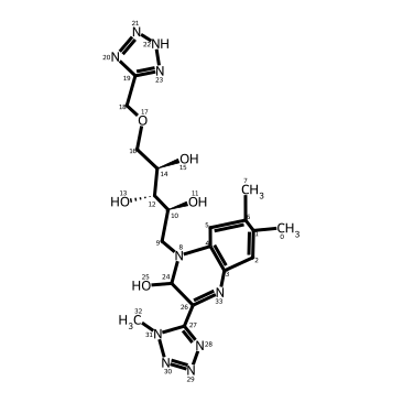 Cc1cc2c(cc1C)N(C[C@H](O)[C@H](O)[C@H](O)COCc1nn[nH]n1)C(O)C(c1nnnn1C)=N2